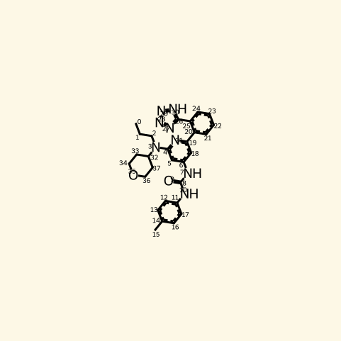 CCCN(c1cc(NC(=O)Nc2ccc(C)cc2)cc(-c2ccccc2-c2nnn[nH]2)n1)C1CCOCC1